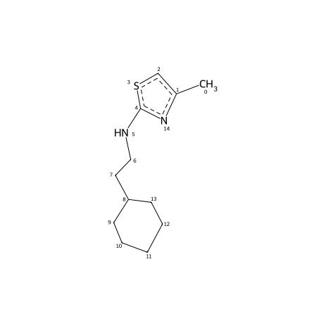 Cc1csc(NCCC2CCCCC2)n1